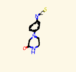 O=C1CN(c2ccc(N=C=S)cc2)CCN1